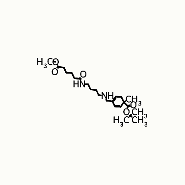 COC(=O)CCCCC(=O)NCCCCNCC1=CCC(C)(C(=O)OC(C)(C)C)C=C1